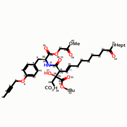 CC#CCOc1ccc(C[C@H](NC(=O)[C@@H](/C=C/CCCCCCC(=O)CCCCCCC)[C@@](O)(CC(=O)O)C(=O)OC(C)(C)C)C(=O)OCC(=O)OC)cc1